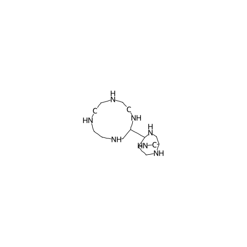 C1CNCCNC(C2NCC3CNC2CN3)CNCCN1